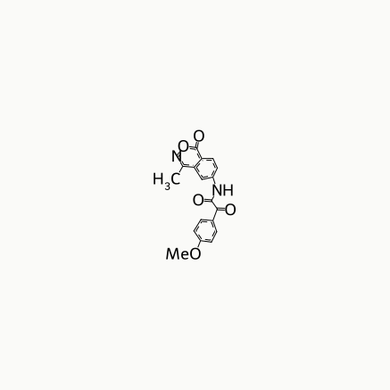 COc1ccc(C(=O)C(=O)Nc2ccc3c(=O)onc(C)c3c2)cc1